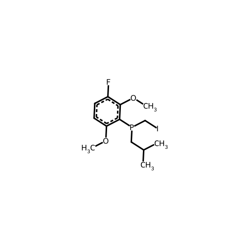 COc1ccc(F)c(OC)c1P(CI)CC(C)C